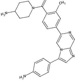 Cc1cc(-c2cn3c(-c4ccc(N)cc4)cnc3cn2)ccc1C(=O)N1CCC(N)CC1